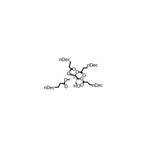 CCCCCCCCCCCCC(=O)OC[C@H](OC(=O)CCCCCCCCCCCC)[C@@H](OC(=O)CCCCCCCCCCCC)[C@@H](CO)OC(=O)CCCCCCCCCCCC